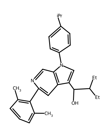 CCC(CC)C(O)c1cn(-c2ccc(C(C)C)cc2)c2cnc(-c3c(C)cccc3C)cc12